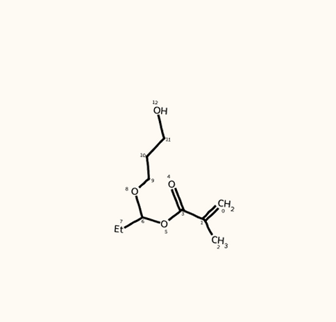 C=C(C)C(=O)OC(CC)OCCCO